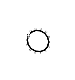 [CH]1CCCCCC[CH]COCCCC1